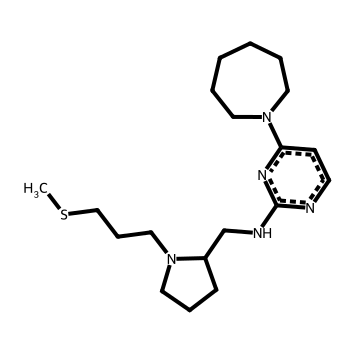 CSCCCN1CCCC1CNc1nccc(N2CCCCCC2)n1